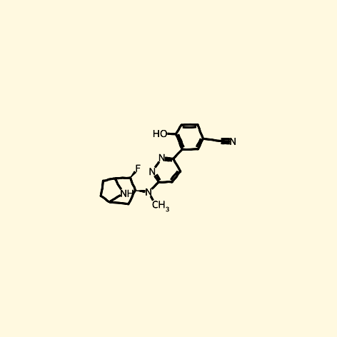 CN(c1ccc(-c2cc(C#N)ccc2O)nn1)[C@H]1CC2CCC(N2)[C@H]1F